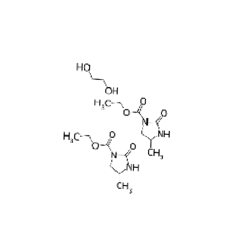 CCOC(=O)N1CC(C)NC1=O.CCOC(=O)N1CC(C)NC1=O.OCCO